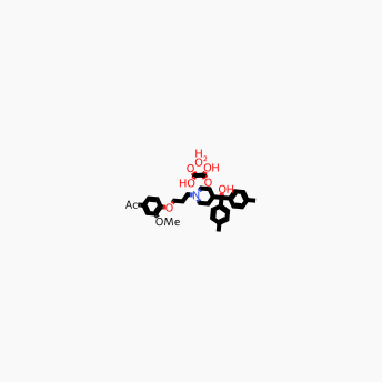 COc1cc(C(C)=O)ccc1OCCCN1CCC(C(O)(c2ccc(C)cc2)c2ccc(C)cc2)CC1.O.O=C(O)C(=O)O